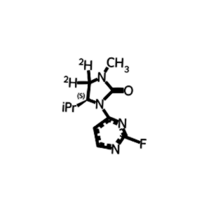 [2H]C1([2H])[C@H](C(C)C)N(c2ccnc(F)n2)C(=O)N1C